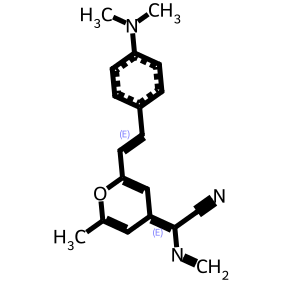 C=N/C(C#N)=C1\C=C(C)OC(/C=C/c2ccc(N(C)C)cc2)=C1